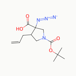 C=CCC1CN(C(=O)OC(C)(C)C)CC1(N=[N+]=[N-])C(=O)O